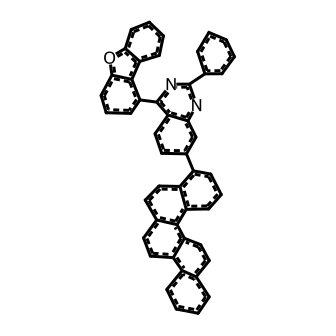 c1ccc(-c2nc(-c3cccc4oc5ccccc5c34)c3ccc(-c4cccc5c4ccc4ccc6c7ccccc7ccc6c45)cc3n2)cc1